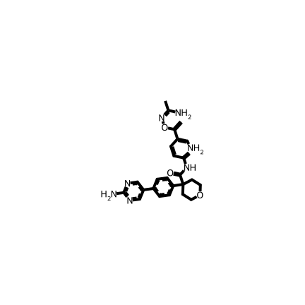 C=C(/C=C\C(=C/N)C(=C)O/N=C(/C)N)NC(=O)C1(c2ccc(-c3cnc(N)nc3)cc2)CCOCC1